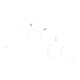 CCCCOC[C@@]1(CF)O[C@@H](n2ccc(N)nc2=O)[C@H](F)[C@@H]1OCCCC